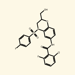 O=C(Nc1ccc2c(c1)N(S(=O)(=O)c1ccc(F)cc1)CC(CO)O2)c1c(F)cccc1Cl